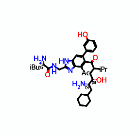 CC[C@H](C)[C@H](N)C(=O)NCc1nc2c(C(C)=O)c(C(=O)C(C[C@H](O)[C@@H](N)CC3CCCCC3)C(C)C)c(-c3cccc(O)c3)cc2[nH]1